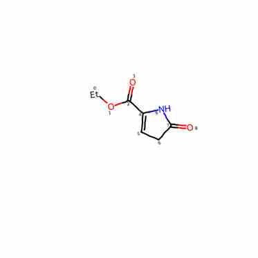 CCOC(=O)C1=CCC(=O)N1